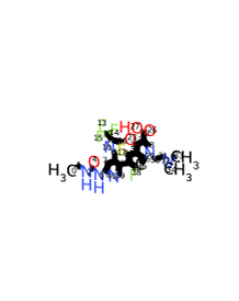 CCNC(=O)Nc1cc(-c2nc(C(F)(F)F)cs2)c(-c2cc3c(=O)c(C(=O)O)cn(CCN(C)C)c3cc2F)cn1